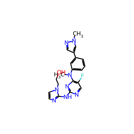 CN(c1cccc(-c2cnn(C)c2)c1)c1nc(Nc2nccn2CCO)ncc1F